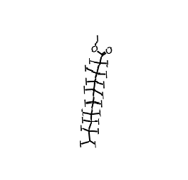 O=C(OI)C(I)(I)C(I)(I)C(I)(I)C(I)(I)C(I)(I)C(I)(I)C(I)(I)C(I)(I)C(I)I